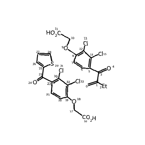 C=C(CC)C(=O)c1ccc(OCC(=O)O)c(Cl)c1Cl.O=C(O)COc1ccc(C(=O)c2cccs2)c(Cl)c1Cl